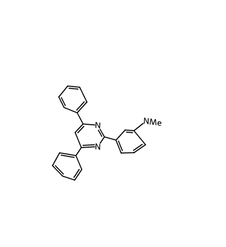 CNc1cccc(-c2nc(-c3ccccc3)cc(-c3ccccc3)n2)c1